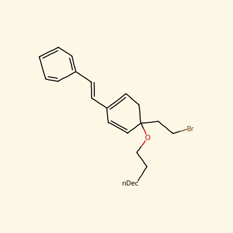 CCCCCCCCCCCCOC1(CCBr)C=CC(C=Cc2ccccc2)=CC1